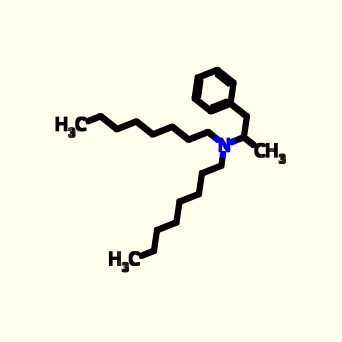 CCCCCCCCN(CCCCCCCC)C(C)Cc1ccccc1